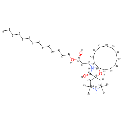 CCCCCCCCCCCCCCOC(=O)CCN1C(=O)C2(CC(C)(C)NC(C)(C)C2)OC12CCCCCCCCCCC2